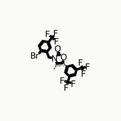 C[C@H]1[C@@H](c2cc(C(F)(F)F)cc(C(F)(F)F)c2)OC(=O)N1Cc1cc(C(F)(F)F)ccc1Br